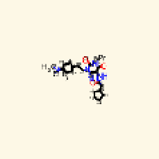 CCCn1c(=O)c(NC(=O)CC2CCCC2)c(N)n(CCc2ccc(N(C)C)cc2)c1=O